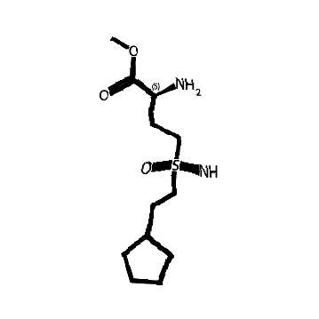 COC(=O)[C@@H](N)CCS(=N)(=O)CCC1CCCC1